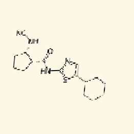 N#CN[C@H]1CCC[C@H]1C(=O)Nc1ncc(C2CCCCC2)s1